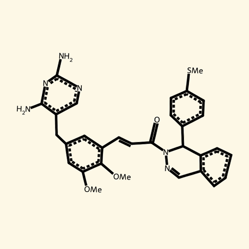 COc1cc(Cc2cnc(N)nc2N)cc(C=CC(=O)N2N=Cc3ccccc3C2c2ccc(SC)cc2)c1OC